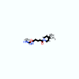 CC(C)(C)Nc1nnc(CCCC(=O)N2CCC(C)(C(C)(C)C)CC2)o1